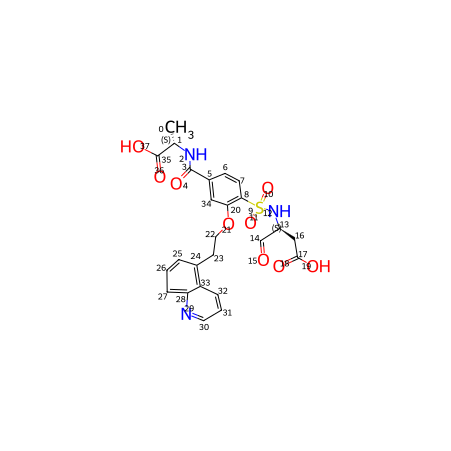 C[C@H](NC(=O)c1ccc(S(=O)(=O)N[C@H](C=O)CC(=O)O)c(OCCc2cccc3ncccc23)c1)C(=O)O